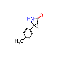 Cc1ccc(C23CNC(=O)C2C3)cc1